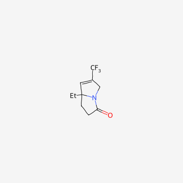 CCC12C=C(C(F)(F)F)CN1C(=O)CC2